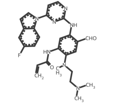 C=CC(=O)Nc1cc(Nc2nccc(-n3ccc4cc(F)ccc43)n2)c(C=O)cc1N(C)CCN(C)C